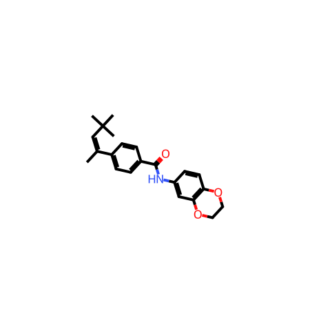 C/C(=C/C(C)(C)C)c1ccc(C(=O)Nc2ccc3c(c2)OCCO3)cc1